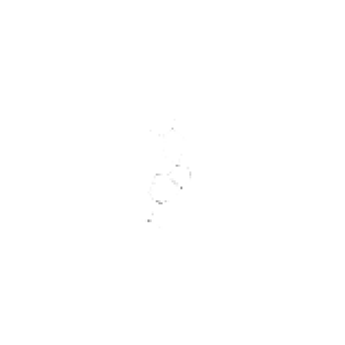 CC(C)c1ccc2c(c1)COC2(C)CN(C)C(C)C